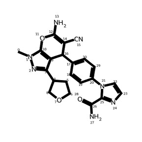 Cn1nc(C2CCOC2)c2c1OC(N)=C(C#N)C2c1ccc(-n2ccnc2C(N)=O)cc1